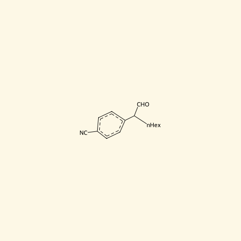 CCCCCCC(C=O)c1ccc(C#N)cc1